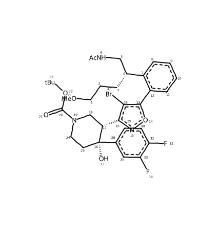 COCCC[C@H](CNC(C)=O)c1ccccc1-c1onc([C@H]2CN(C(=O)OC(C)(C)C)CC[C@]2(O)c2ccc(F)c(F)c2)c1Br